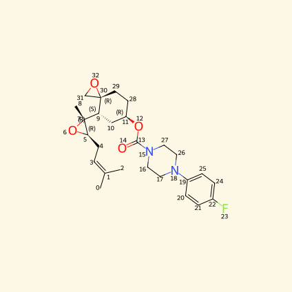 CC(C)=CC[C@H]1O[C@]1(C)[C@H]1C[C@H](OC(=O)N2CCN(c3ccc(F)cc3)CC2)CC[C@]12CO2